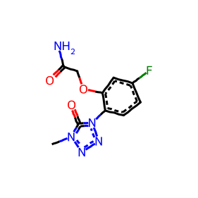 Cn1nnn(-c2ccc(F)cc2OCC(N)=O)c1=O